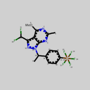 COc1nc(C)nc2c1c(C(F)F)nn2C(C)c1ccc(S(F)(F)(F)(F)F)cc1